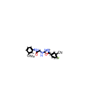 COc1cccc(NC(=O)CNc2nnc(-c3ccc(F)c(C#N)c3)o2)c1